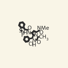 CNC(=O)c1cc(NC(=O)c2nsc3ccccc23)c2n1C(C)C(=O)NC2c1cc(F)ccc1Cl